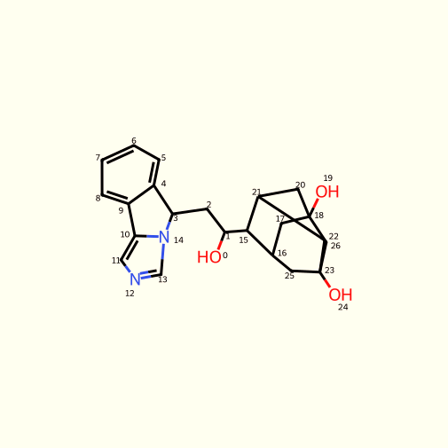 OC(CC1c2ccccc2-c2cncn21)C1C2CC3(O)CC1CC(O)(C2)C3